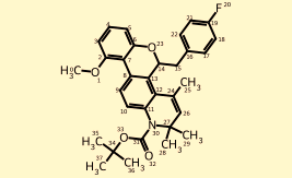 COc1cccc2c1-c1ccc3c(c1C(Cc1ccc(F)cc1)O2)C(C)=CC(C)(C)N3C(=O)OC(C)(C)C